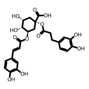 O=C(/C=C/c1ccc(O)c(O)c1)O[C@@H]1C[C@](OC(=O)CCc2ccc(O)c(O)c2)(C(=O)O)C[C@@H](O)[C@H]1O